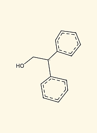 OC[C](c1ccccc1)c1ccccc1